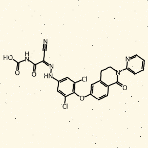 N#CC(=NNc1cc(Cl)c(Oc2ccc3c(c2)CCN(c2ccccn2)C3=O)c(Cl)c1)C(=O)NC(=O)O